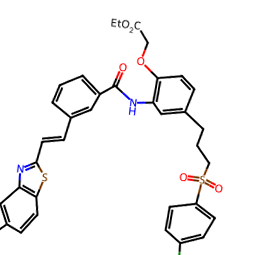 CCOC(=O)COc1ccc(CCCS(=O)(=O)c2ccc(Cl)cc2)cc1NC(=O)c1cccc(/C=C/c2nc3cc(Cl)ccc3s2)c1